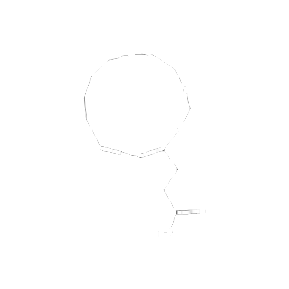 O=C(O)CCC1=CC=CCCCCCCCCCC1